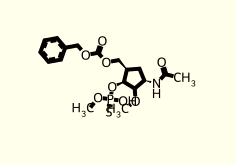 COC1[C@@H](NC(C)=O)C[C@H](COC(=O)OCc2ccccc2)[C@@H]1OP(O)(=S)OC